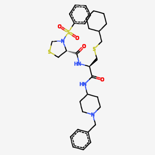 O=C(NC1CCN(Cc2ccccc2)CC1)[C@H](CSCC1CCCCC1)NC(=O)[C@@H]1CSCN1S(=O)(=O)c1ccccc1